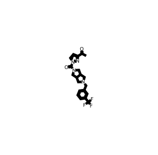 CC(=O)c1ccn(C(=O)N2CC3CN(Cc4cccc(C(F)(F)F)c4)CC3C2)n1